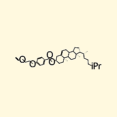 C=COCCOc1ccc(C(=O)OC2CC[C@@]3(C)C(=CCC4C3CC[C@@]3(C)C4CC[C@@H]3[C@H](C)CCCC(C)C)C2)cc1